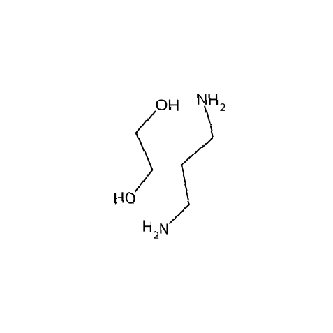 NCCCN.OCCO